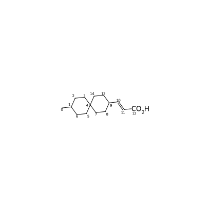 CC1CCC2(CC1)CCC(/C=C/C(=O)O)CC2